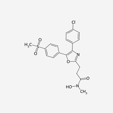 CN(O)C(=O)CCc1nc(-c2ccc(Cl)cc2)c(-c2ccc(S(C)(=O)=O)cc2)o1